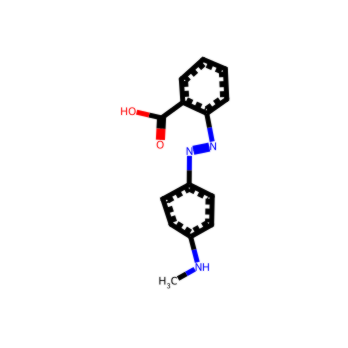 CNc1ccc(N=Nc2ccccc2C(=O)O)cc1